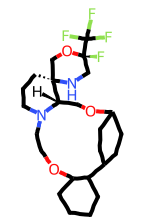 FC(F)(F)[C@]1(F)CN[C@]2(CCCN3CCOC4CCCCC4C4CCC(CC4)OC[C@H]32)CO1